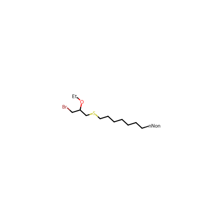 CCCCCCCCCCCCCCCCSCC(CBr)OCC